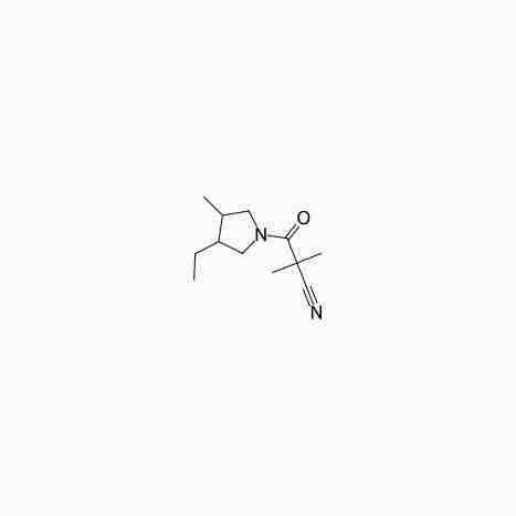 CCC1CN(C(=O)C(C)(C)C#N)CC1C